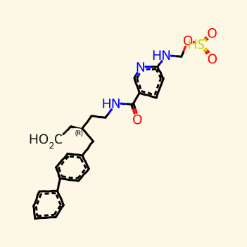 O=C(O)C[C@@H](CCNC(=O)c1ccc(NCO[SH](=O)=O)nc1)Cc1ccc(-c2ccccc2)cc1